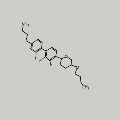 CCCCOC1CCC(c2ccc(-c3ccc(CCCC)cc3F)c(F)c2F)OC1